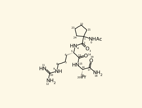 CC(=O)NC1(C(=O)N[C@@H](CCCNC(=N)N)C(=O)N[C@H](C(N)=O)C(C)C)CCCC1